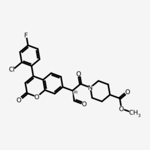 COC(=O)C1CCN(C(=O)[C@@H](C=O)c2ccc3c(-c4ccc(F)cc4Cl)cc(=O)oc3c2)CC1